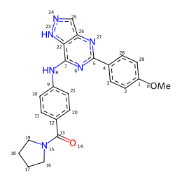 COc1ccc(-c2nc(Nc3ccc(C(=O)N4CCCC4)cc3)c3[nH]ncc3n2)cc1